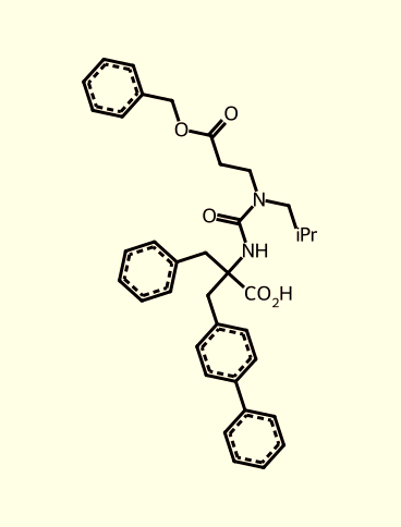 CC(C)CN(CCC(=O)OCc1ccccc1)C(=O)NC(Cc1ccccc1)(Cc1ccc(-c2ccccc2)cc1)C(=O)O